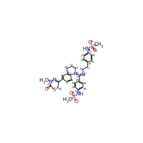 CN1N=C(c2ccc3c(c2)CCCN3/C(=N\CCc2ccc(NS(C)(=O)=O)cc2)c2ccc(NS(C)(=O)=O)cc2)CSC1=O